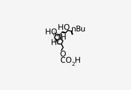 C=C(CCCC)C(O)C=C[C@H]1[C@@H]2CC(CCOCC(=O)O)C[C@H]2C[C@@H]1O